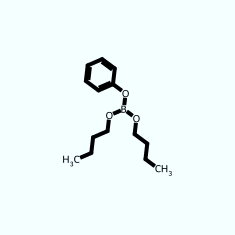 CCCCOB(OCCCC)Oc1ccccc1